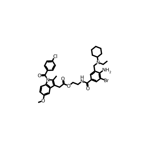 CCN(Cc1cc(C(=O)NCCOC(=O)Cc2c(C)n(C(=O)c3ccc(Cl)cc3)c3ccc(OC)cc23)cc(Br)c1N)C1CCCCC1